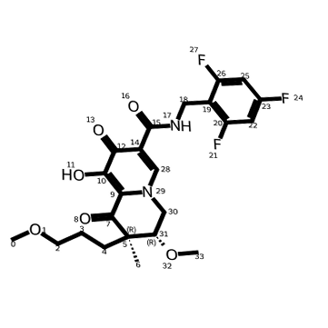 COCCC[C@@]1(C)C(=O)c2c(O)c(=O)c(C(=O)NCc3c(F)cc(F)cc3F)cn2C[C@@H]1OC